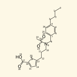 CCCCc1ccc(CN(CCCc2ccc(C(=O)O)s2)S(C)(=O)=O)cc1